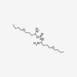 CCCCOCCCC(N)O[PH](=O)OC(N)CCCOCCCC